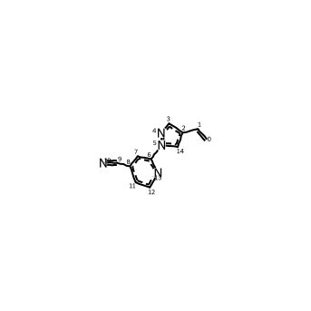 C=Cc1cnn(-c2cc(C#N)ccn2)c1